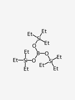 CC[Si](CC)(CC)OB(O[Si](CC)(CC)CC)O[Si](CC)(CC)CC